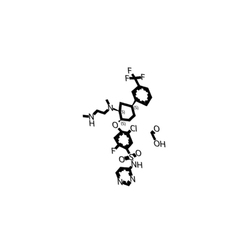 CNCCN(C)[C@H]1C[C@@H](c2cccc(C(F)(F)F)c2)CC[C@@H]1Oc1cc(F)c(S(=O)(=O)Nc2ccncn2)cc1Cl.O=CO